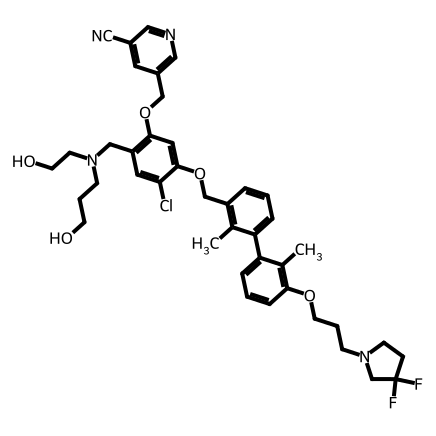 Cc1c(COc2cc(OCc3cncc(C#N)c3)c(CN(CCO)CCCO)cc2Cl)cccc1-c1cccc(OCCCN2CCC(F)(F)C2)c1C